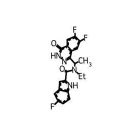 CCN(C(=O)c1cc2cc(F)ccc2[nH]1)C(C)c1n[nH]c(=O)c2cc(F)c(F)cc12